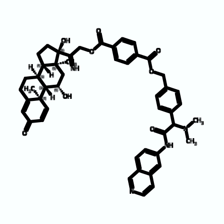 CN(C)C(C(=O)Nc1ccc2cnccc2c1)c1ccc(COC(=O)c2ccc(C(=O)OCC(=N)[C@@]3(O)CC[C@H]4[C@@H]5CCC6=CC(=O)C=C[C@]6(C)[C@H]5[C@@H](O)C[C@@]43C)cc2)cc1